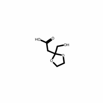 O=C(O)CC1(CO)OCCO1